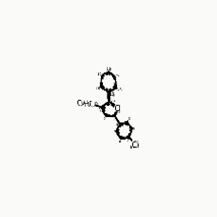 O=Cc1cc(-c2ccc(Cl)cc2)oc1-c1ccccc1